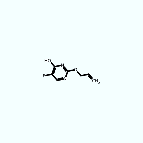 C=CCOc1ncc(F)c(O)n1